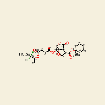 CCCCC1(OC(=O)C2C3OC4C(OC(=O)C42)C3OC(=O)CCC(=O)OC(C)C(F)(F)S(=O)(=O)O)CCCCC1